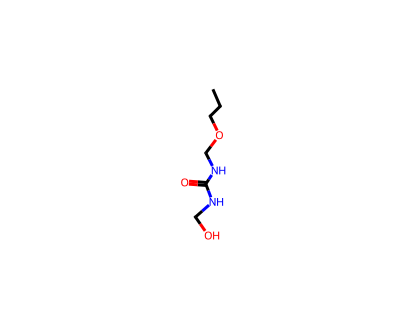 CCCOCNC(=O)NCO